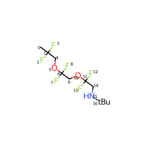 CC(F)(F)COC(F)(F)COC(F)(F)CNC(C)(C)C